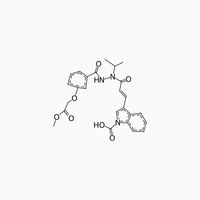 COC(=O)COc1cccc(C(=O)NN(C(=O)/C=C/c2cn(C(=O)O)c3ccccc23)C(C)C)c1